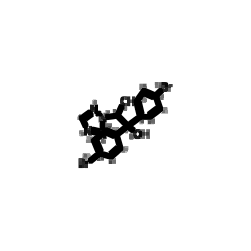 CC(n1ncnn1)C(O)(c1ccc(Br)cc1)c1ccc(Br)cc1